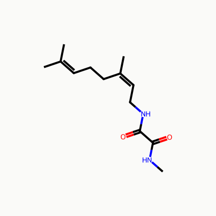 CNC(=O)C(=O)NCC=C(C)CCC=C(C)C